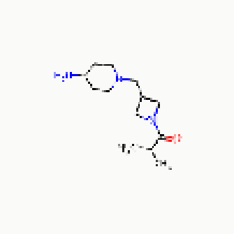 CC(C)C(=O)N1CC(CN2CCC(N)CC2)C1